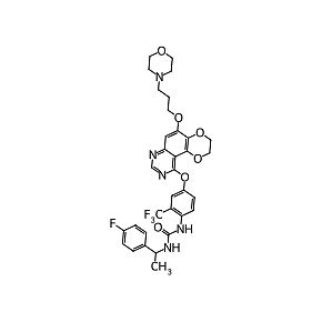 CC(NC(=O)Nc1ccc(Oc2ncnc3cc(OCCCN4CCOCC4)c4c(c23)OCCO4)cc1C(F)(F)F)c1ccc(F)cc1